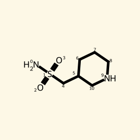 NS(=O)(=O)CC1CCCNC1